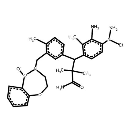 CCN(N)c1ccc(C(c2ccc(C)c(CN3CCOc4ccccc4[S+]3[O-])c2)C(C)(C)C(N)=O)c(C)c1N